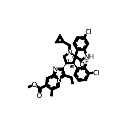 CCc1c([C@@H]2CN(CC3CC3)[C@@]3(C(=O)Nc4cc(Cl)ccc43)[C@H]2c2cccc(Cl)c2F)nc2cc(C(=O)OC)c(C)cn12